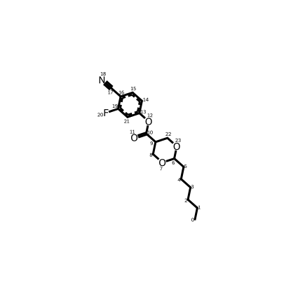 CCCCCCC1OCC(C(=O)Oc2ccc(C#N)c(F)c2)CO1